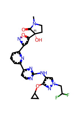 CN1CC[C@@](O)(c2cc(-c3cccc(-c4ccnc(Nc5cn(CC(F)F)nc5OC5CC5)n4)n3)no2)C1=O